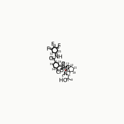 CC(O)CN(C)C[C@]1(O)C2CCC1C[C@@H](S(=O)(=O)c1cc(C(=O)Nc3cc(F)c(F)c(F)c3)ccc1Cl)C2